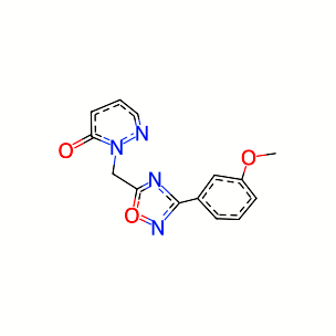 COc1cccc(-c2noc(Cn3ncccc3=O)n2)c1